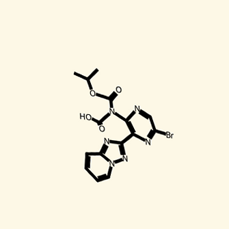 CC(C)OC(=O)N(C(=O)O)c1ncc(Br)nc1-c1nc2ccccn2n1